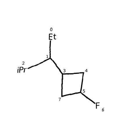 CCC(C(C)C)C1CC(F)C1